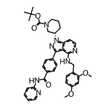 COc1ccc(CNc2nccc3c2c(-c2ccc(C(=O)Nc4ccccn4)cc2)nn3[C@H]2CCCN(C(=O)OC(C)(C)C)C2)c(OC)c1